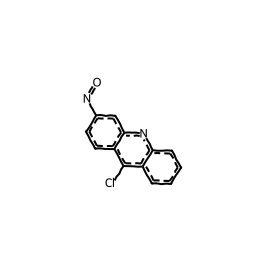 O=Nc1ccc2c(Cl)c3ccccc3nc2c1